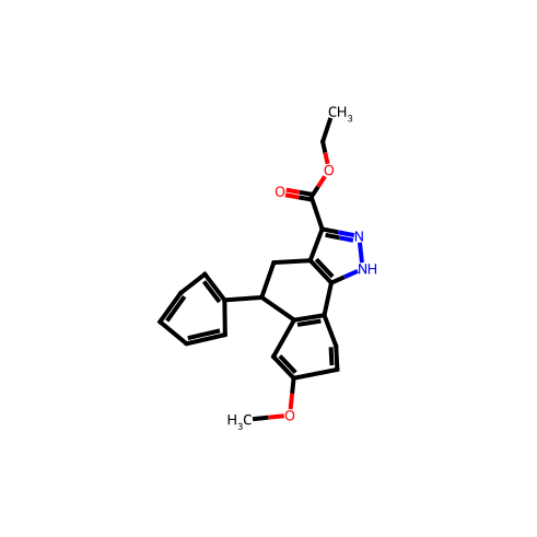 CCOC(=O)c1n[nH]c2c1CC(c1ccccc1)c1cc(OC)ccc1-2